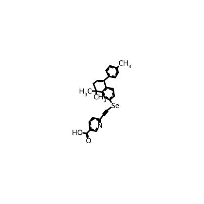 Cc1ccc(C2=CCC(C)(C)c3cc([Se]C#Cc4ccc(C(=O)O)cn4)ccc32)cc1